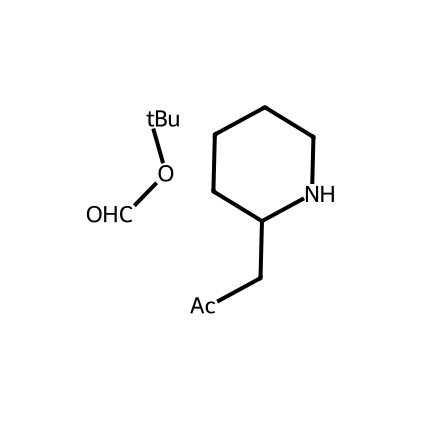 CC(=O)CC1CCCCN1.CC(C)(C)OC=O